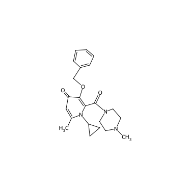 Cc1cc(=O)c(OCc2ccccc2)c(C(=O)N2CCN(C)CC2)n1C1CC1